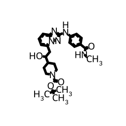 CNC(=O)c1ccc(Nc2nc3cccc(CC(O)C4CCN(C(=O)OC(C)(C)C)CC4)n3n2)cc1